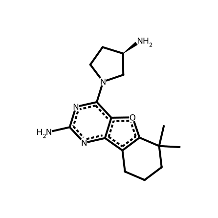 CC1(C)CCCc2c1oc1c(N3CC[C@@H](N)C3)nc(N)nc21